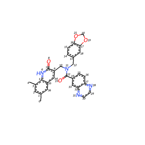 Cc1cc(C)c2[nH]c(=O)c(CN(Cc3ccc4c(c3)OCO4)C(=O)c3ccc4nccnc4c3)cc2c1